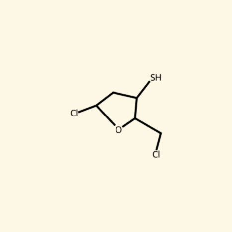 SC1CC(Cl)OC1CCl